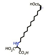 CCCCCCCC/C=C\CCCCCCCCCCCCNC(CC(=O)O)C(=O)O